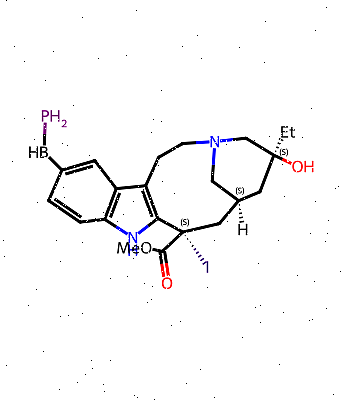 CC[C@]1(O)C[C@@H]2CN(CCc3c([nH]c4ccc(BP)cc34)[C@](I)(C(=O)OC)C2)C1